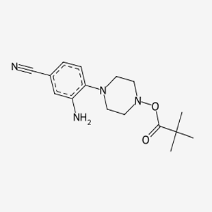 CC(C)(C)C(=O)ON1CCN(c2ccc(C#N)cc2N)CC1